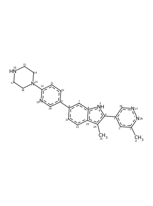 Cc1cc(-c2[nH]c3cc(-c4ccc(N5CCNCC5)nc4)ccc3c2C)cnn1